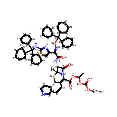 CCCCCOC(=O)OC(C)OC(=O)C1=C(/C=C\c2cccnc2)CS[C@@H]2[C@H](NC(=O)/C(=N/OC(c3ccccc3)(c3ccccc3)c3ccccc3)c3csc(NC(c4ccccc4)(c4ccccc4)c4ccccc4)n3)C(=O)N12